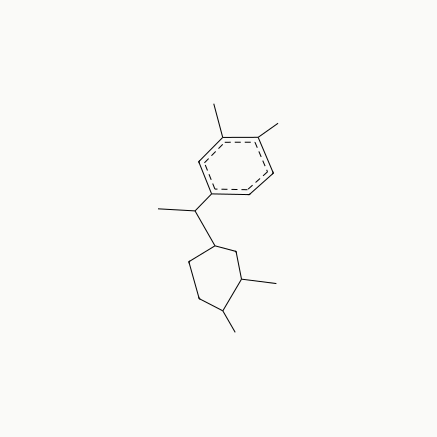 Cc1ccc(C(C)C2CCC(C)C(C)C2)cc1C